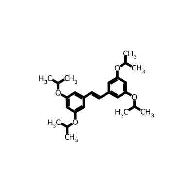 CC(C)Oc1cc(/C=C/c2cc(OC(C)C)cc(OC(C)C)c2)cc(OC(C)C)c1